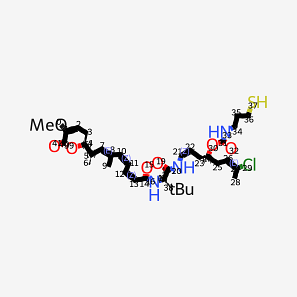 COC1=CC[C@@H]([C@@H](C)/C=C(C)/C=C\C=C/C(=O)N[C@H](C(=O)N/C=C\C[C@H](C/C=C(\C)Cl)OC(=O)NCCCS)C(C)(C)C)OC1=O